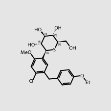 CCOc1ccc(Cc2cc([C@@H]3S[C@H](CO)[C@@H](O)[C@H](O)[C@H]3O)c(OC)cc2Cl)cc1